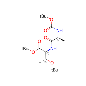 C[C@H](NC(=O)OC(C)(C)C)C(=O)N[C@H](C(=O)OC(C)(C)C)[C@@H](C)OC(C)(C)C